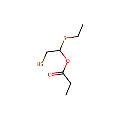 CCSC(CS)OC(=O)CC